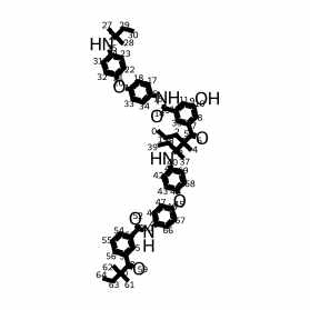 CCCC(C)(C(=O)c1cc(O)cc(C(=O)Nc2ccc(Oc3ccc(NC(C)(C)CC)cc3)cc2)c1)C(C)(CC)Nc1ccc(Oc2ccc(NC(=O)c3cccc(C(=O)C(C)(C)CC)c3)cc2)cc1